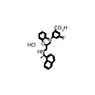 C[C@@H](NCC1CN(c2cc(F)cc(C(=O)O)c2)c2ccccc2O1)c1cccc2ccccc12.Cl